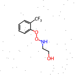 OCCNOOc1ccccc1C(F)(F)F